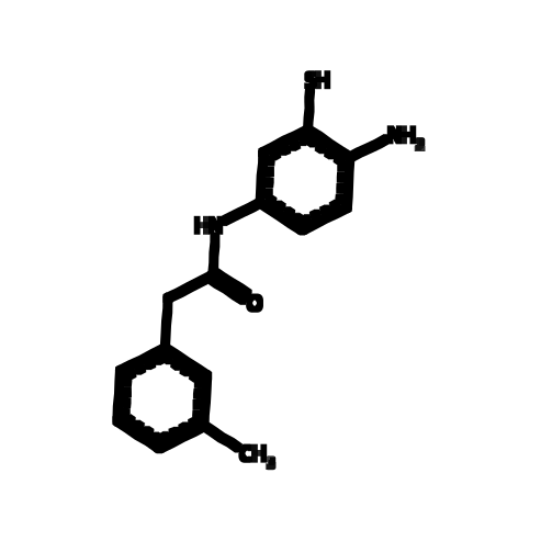 Cc1cccc(CC(=O)Nc2ccc(N)c(S)c2)c1